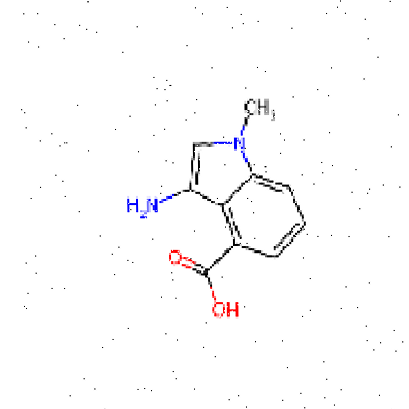 Cn1cc(N)c2c(C(=O)O)cccc21